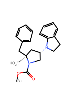 CC(C)(C)OC(=O)N1C[C@@H](N2CCc3ccccc32)C[C@@]1(Cc1ccccc1)C(=O)O